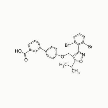 CC(C)c1onc(-c2c(Br)cccc2Br)c1COc1ccc(-c2cccc(C(=O)O)c2)cc1